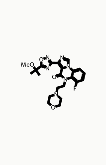 COC(C)(C)c1nc(-c2ncn3c2c(=O)n(CCN2CCOCC2)c2c(F)cccc23)no1